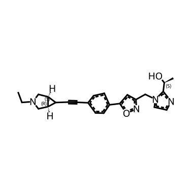 CCN1C[C@@H]2C(C#Cc3ccc(-c4cc(Cn5ccnc5[C@H](C)O)no4)cc3)[C@@H]2C1